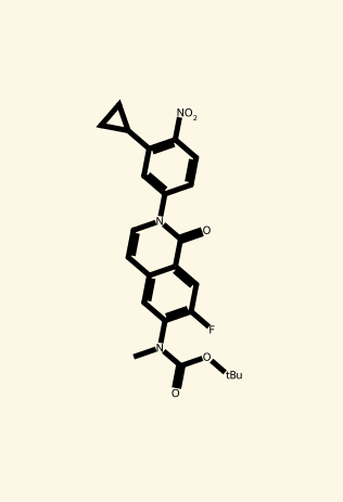 CN(C(=O)OC(C)(C)C)c1cc2ccn(-c3ccc([N+](=O)[O-])c(C4CC4)c3)c(=O)c2cc1F